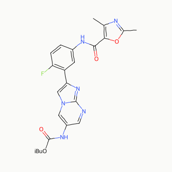 Cc1nc(C)c(C(=O)Nc2ccc(F)c(-c3cn4cc(NC(=O)OCC(C)C)cnc4n3)c2)o1